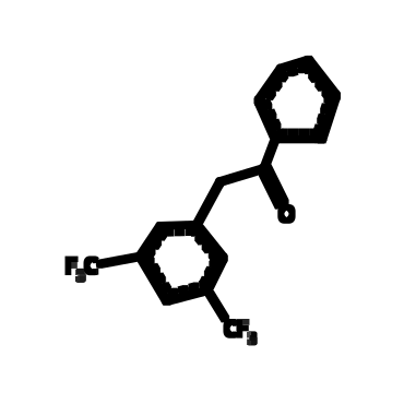 O=C(Cc1cc(C(F)(F)F)cc(C(F)(F)F)c1)c1ccccc1